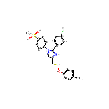 Cc1ccc(OSCc2cn(-c3ccc(S(C)(=O)=O)cc3)c(-c3ccc(Cl)cc3)n2)cc1